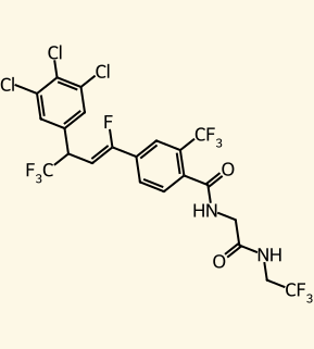 O=C(CNC(=O)c1ccc(/C(F)=C/C(c2cc(Cl)c(Cl)c(Cl)c2)C(F)(F)F)cc1C(F)(F)F)NCC(F)(F)F